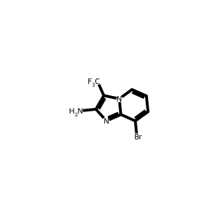 Nc1nc2c(Br)cccn2c1C(F)(F)F